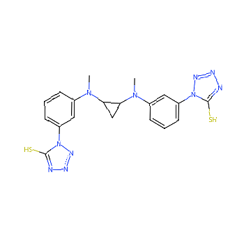 CN(c1cccc(-n2nnnc2S)c1)C1CC1N(C)c1cccc(-n2nnnc2S)c1